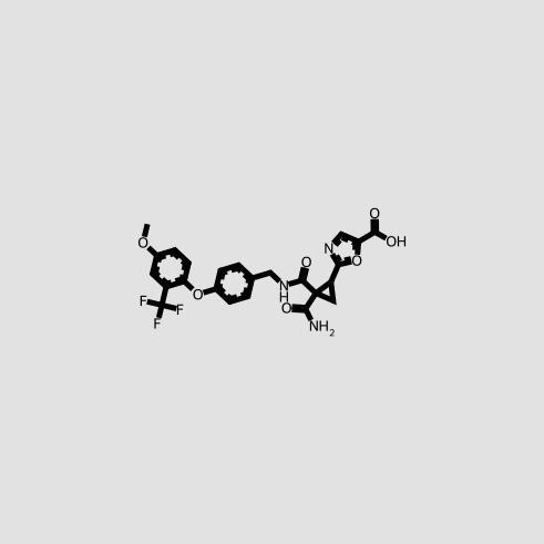 COc1ccc(Oc2ccc(CNC(=O)C3(C(N)=O)CC3c3ncc(C(=O)O)o3)cc2)c(C(F)(F)F)c1